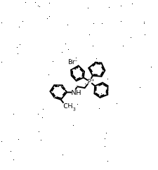 Cc1ccccc1NCC[P+](c1ccccc1)(c1ccccc1)c1ccccc1.[Br-]